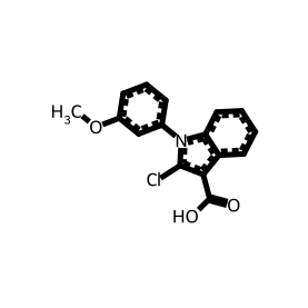 COc1cccc(-n2c(Cl)c(C(=O)O)c3ccccc32)c1